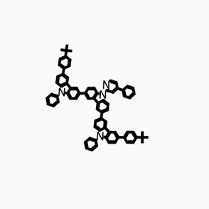 CC(C)(C)c1ccc(-c2ccc3c(c2)c2cc(-c4ccc5c(c4)c4cc(-c6ccc7c(c6)c6cc(-c8ccc(C(C)(C)C)cc8)ccc6n7-c6ccccc6)ccc4n5-c4cc(-c5ccccc5)ccn4)ccc2n3-c2ccccc2)cc1